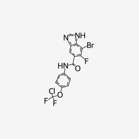 O=C(Nc1ccc(OC(F)(F)Cl)cc1)c1cc2nc[nH]c2c(Br)c1F